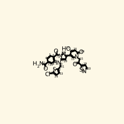 NC(=O)c1ccc(C(=O)n2nc(-c3cn(CC(=O)c4ccns4)c(=O)cc3O)cc2NCc2ccc(Cl)s2)cc1